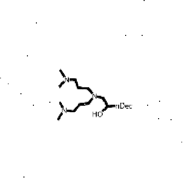 CCCCCCCCCCC(O)CN(CCCN(C)C)CCCN(C)C